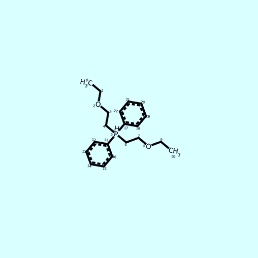 CCOCC[PH](CCOCC)(c1ccccc1)c1ccccc1